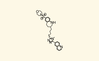 Cn1c(SCCCC2CCc3cc(S(=O)(=O)N4CCOCC4)ccc3NC2)nnc1-c1ccc2ncccc2c1